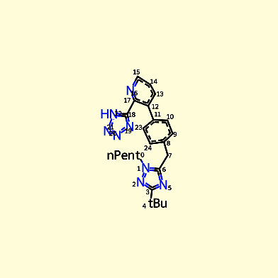 CCCCCn1nc(C(C)(C)C)nc1Cc1ccc(-c2cccnc2-c2nnn[nH]2)cc1